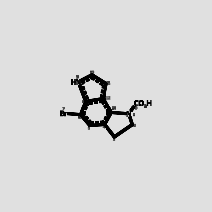 O=C(O)N1CCc2cc(Br)c3[nH]ccc3c21